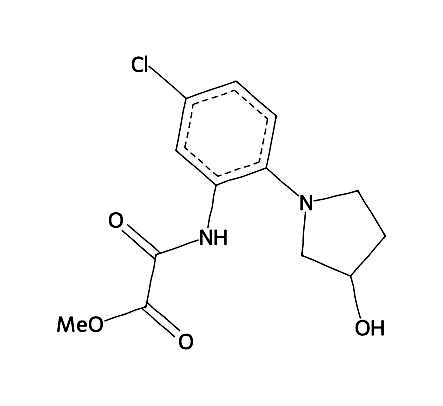 COC(=O)C(=O)Nc1cc(Cl)ccc1N1CCC(O)C1